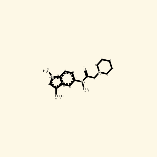 CN(C(=O)CN1CCCCC1)c1ccc2c(c1)c(C(=O)O)cn2C